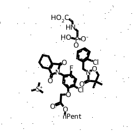 CC1(C)CON(Cc2ccccc2Cl)C1=O.CCCCCOC(=O)COc1cc(N2C(=O)C3=C(CCCC3)C2=O)c(F)cc1Cl.C[S+](C)C.O=C(O)CNCP(=O)([O-])O